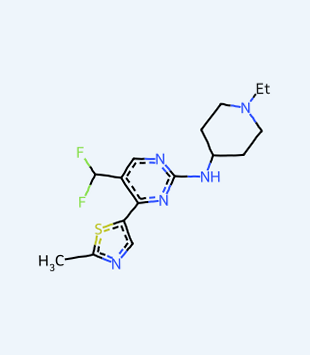 CCN1CCC(Nc2ncc(C(F)F)c(-c3cnc(C)s3)n2)CC1